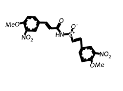 COc1ccc(C=CC(=O)N[S+]([O-])C=Cc2ccc(OC)c([N+](=O)[O-])c2)cc1[N+](=O)[O-]